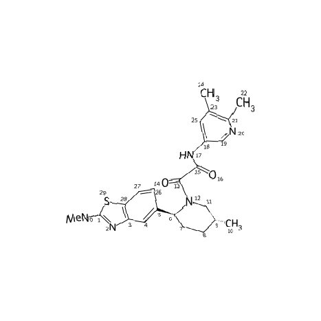 CNc1nc2cc([C@@H]3CC[C@@H](C)CN3C(=O)C(=O)Nc3cnc(C)c(C)c3)ccc2s1